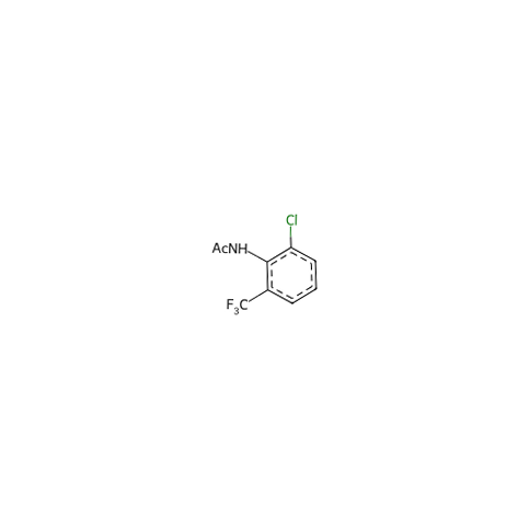 CC(=O)Nc1c(Cl)cccc1C(F)(F)F